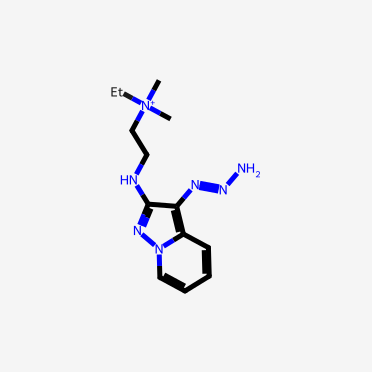 CC[N+](C)(C)CCNc1nn2ccccc2c1N=NN